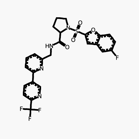 O=C(NCc1cccc(-c2ccc(C(F)(F)F)nc2)n1)C1CCCN1S(=O)(=O)c1cc2cc(F)ccc2o1